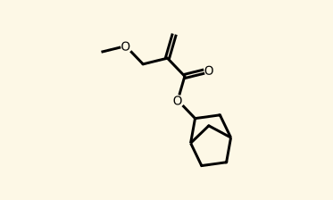 C=C(COC)C(=O)OC1CC2CCC1C2